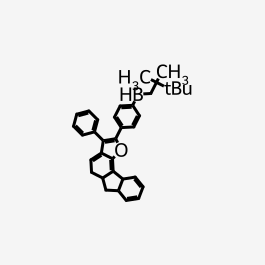 CC(C)(C)C(C)(C)CBc1ccc(-c2oc3c(c2-c2ccccc2)=CCC2CC4C=CC=CC4C=32)cc1